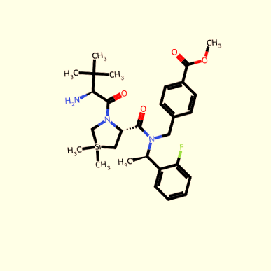 COC(=O)c1ccc(CN(C(=O)[C@@H]2C[Si](C)(C)CN2C(=O)[C@@H](N)C(C)(C)C)[C@H](C)c2ccccc2F)cc1